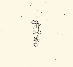 CN1/C(=C/C=C2\CCCC(/C=C/C3=NC4=CCC5C=CC=CC5=C4C3(C)C)=C2Cl)C(C)(C)c2c1ccc1ccccc21